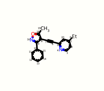 CCc1ccnc(C#Cc2c(-c3ccccc3)noc2C)c1